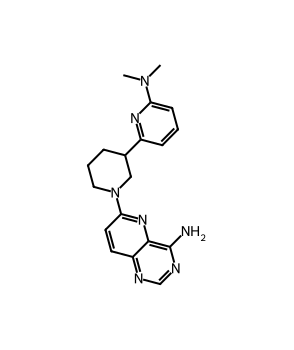 CN(C)c1cccc(C2CCCN(c3ccc4ncnc(N)c4n3)C2)n1